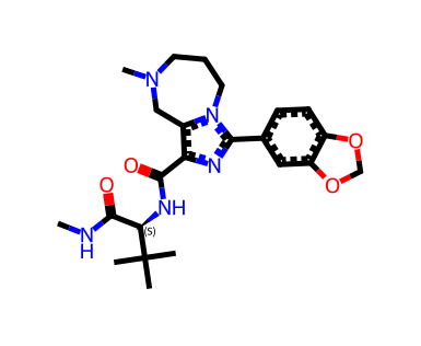 CNC(=O)[C@@H](NC(=O)c1nc(-c2ccc3c(c2)OCO3)n2c1CN(C)CCC2)C(C)(C)C